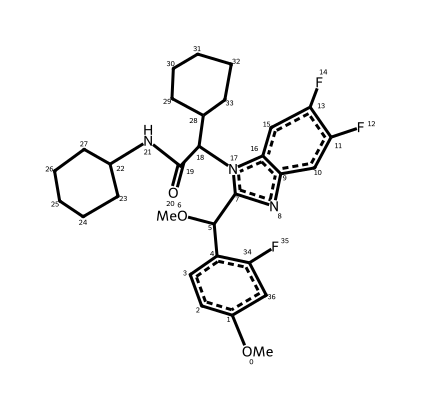 COc1ccc(C(OC)c2nc3cc(F)c(F)cc3n2C(C(=O)NC2CCCCC2)C2CCCCC2)c(F)c1